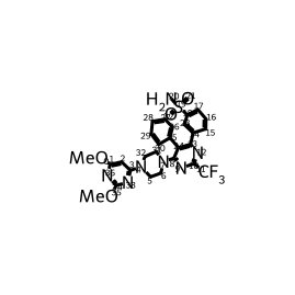 COc1cc(N2CCN(c3nc(C(F)(F)F)nc(-c4cccc(S(N)(=O)=O)c4)c3-c3ccccc3)CC2)nc(OC)n1